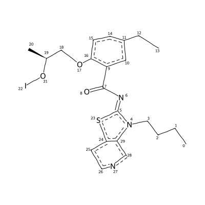 CCCCn1/c(=N/C(=O)c2cc(CC)ccc2OC[C@H](C)OI)sc2ccncc21